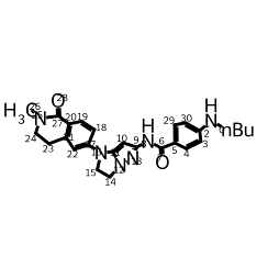 CCCCNc1ccc(C(=O)Nc2cc3n(n2)CCN3c2ccc3c(c2)CCN(C)C3=O)cc1